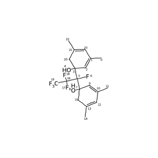 CC1=CC(O)(C(F)(C2(O)C=C(C)C=C(C)C2)C(F)(F)C(F)(F)F)CC(C)=C1